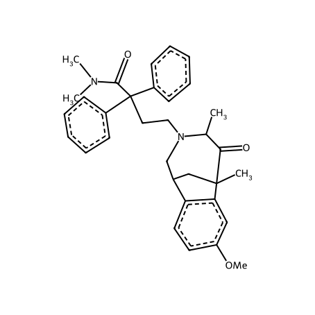 COc1ccc2c(c1)C1(C)CC2CN(CCC(C(=O)N(C)C)(c2ccccc2)c2ccccc2)C(C)C1=O